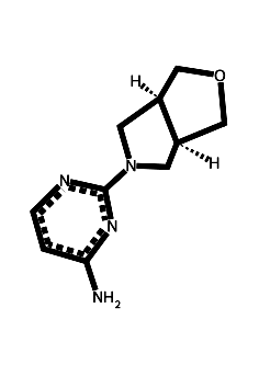 Nc1ccnc(N2C[C@H]3COC[C@H]3C2)n1